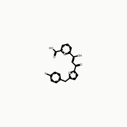 O=C(O)c1cccc(C(O)=CC(=O)c2ccc(Cc3ccc(F)cc3)o2)n1